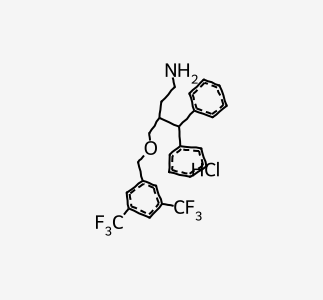 Cl.NCCC(COCc1cc(C(F)(F)F)cc(C(F)(F)F)c1)C(c1ccccc1)c1ccccc1